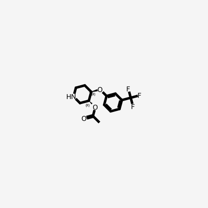 CC(=O)O[C@@H]1CNCC[C@H]1Oc1cccc(C(F)(F)F)c1